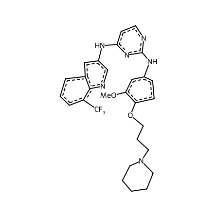 COc1cc(Nc2nccc(Nc3cnc4c(C(F)(F)F)cccc4c3)n2)ccc1OCCCN1CCCCC1